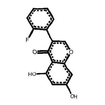 O=c1c(-c2ccccc2F)coc2cc(O)cc(O)c12